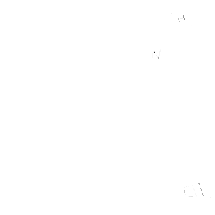 Cc1ccc2c(c1)C1C(=Cc3ccccc31)N2C